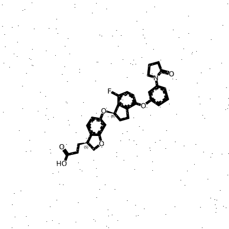 O=C(O)CC[C@@H]1COc2cc(O[C@@H]3CCc4c(Oc5cccc(N6CCCC6=O)c5)ccc(F)c43)ccc21